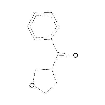 O=C(c1cc[c]cc1)C1CCOC1